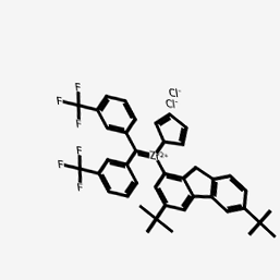 CC(C)(C)c1ccc2c(c1)-c1cc(C(C)(C)C)c[c]([Zr+2](=[C](c3cccc(C(F)(F)F)c3)c3cccc(C(F)(F)F)c3)[CH]3C=CC=C3)c1C2.[Cl-].[Cl-]